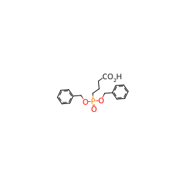 O=C(O)CCCP(=O)(OCc1ccccc1)OCc1ccccc1